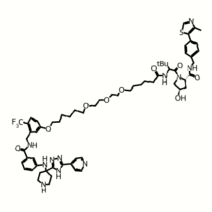 Cc1ncsc1-c1ccc(CNC(=O)[C@@H]2C[C@@H](O)CN2C(=O)C(NC(=O)CCCCCOCCOCCOCCCCCCOc2ccc(C(F)(F)F)c(CNC(=O)c3cccc(NC4(c5nnc(-c6ccncc6)[nH]5)CCNCC4)c3)c2)C(C)(C)C)cc1